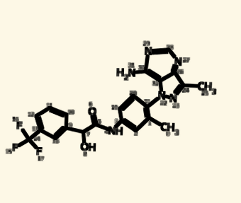 Cc1cc(NC(=O)C(O)c2cccc(C(F)(F)F)c2)ccc1-n1nc(C)c2ncnc(N)c21